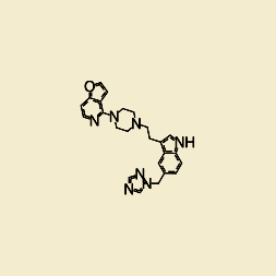 c1cc2occc2c(N2CCN(CCc3c[nH]c4ccc(Cn5cncn5)cc34)CC2)n1